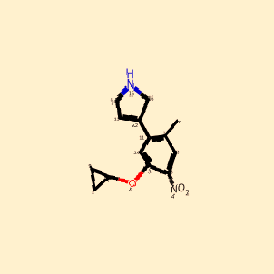 Cc1cc([N+](=O)[O-])c(OC2CC2)cc1C1=CCNC1